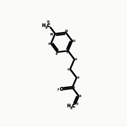 C=CC(=O)CCCc1ccc(C)cc1